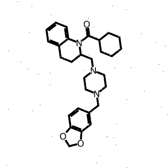 O=C(C1CCCCC1)N1c2ccccc2CCC1CN1CCN(Cc2ccc3c(c2)OCO3)CC1